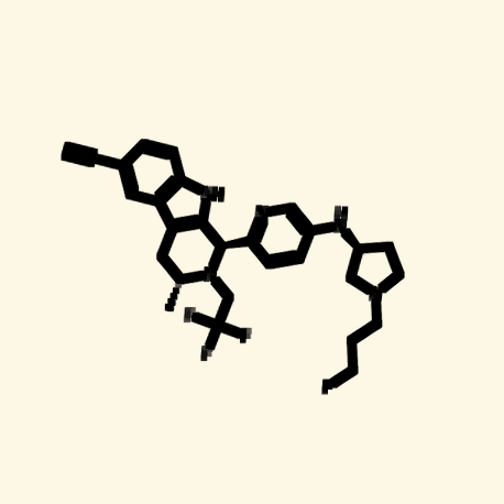 C#Cc1ccc2[nH]c3c(c2c1)C[C@@H](C)N(CC(F)(F)F)[C@@H]3c1ccc(N[C@H]2CCN(CCCF)C2)cn1